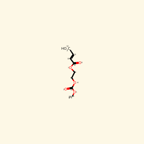 CC(C)OC(=O)OCCOC(=O)/C=C/C(=O)O